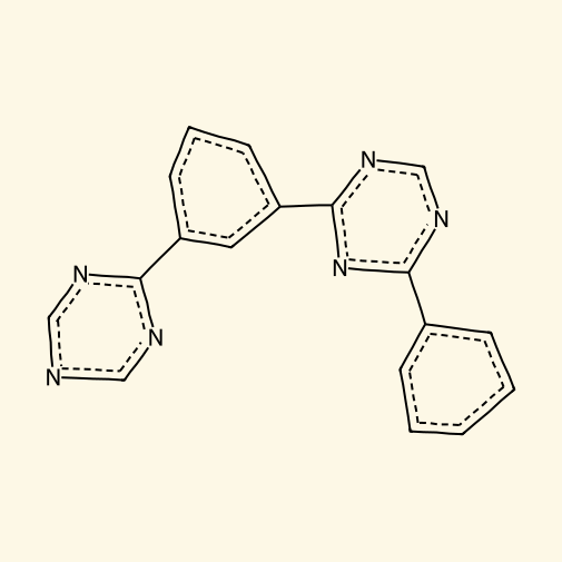 c1ccc(-c2ncnc(-c3cccc(-c4ncncn4)c3)n2)cc1